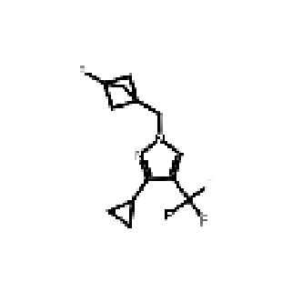 FC12CC(Cn3cc(C(F)(F)F)c(C4CC4)n3)(C1)C2